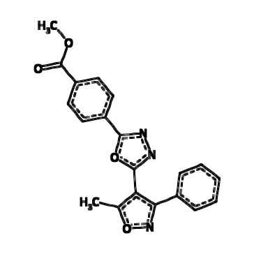 COC(=O)c1ccc(-c2nnc(-c3c(-c4ccccc4)noc3C)o2)cc1